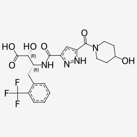 O=C(N[C@H](Cc1ccccc1C(F)(F)F)[C@@H](O)C(=O)O)c1cc(C(=O)N2CCC(O)CC2)[nH]n1